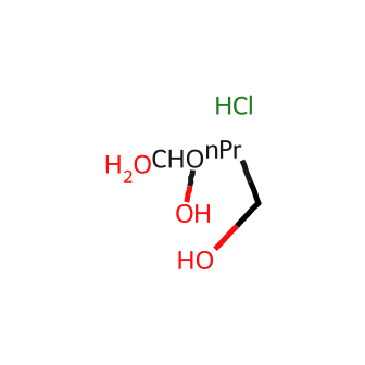 CCCCO.Cl.O.O=CO